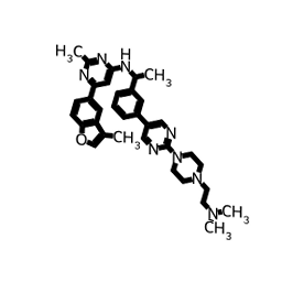 Cc1nc(NC(C)c2cccc(-c3cnc(N4CCN(CCN(C)C)CC4)nc3)c2)cc(-c2ccc3occ(C)c3c2)n1